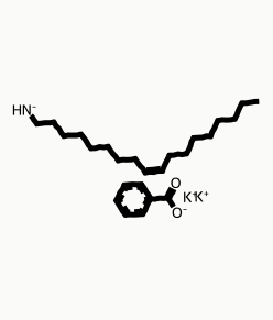 CCCCCCCC/C=C\CCCCCCCC[NH-].O=C([O-])c1ccccc1.[K+].[K+]